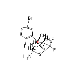 CC(C)(O)[C@@]12SC(N)=N[C@](C)(c3cc(Br)ccc3F)[C@@H]1C2(F)F